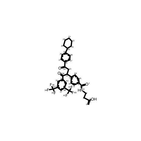 C=C(O)CCNC(=O)c1ccc(C(CC(=O)c2ccc(C3CCCCC3)cc2)C(=O)c2cc(C(F)(F)F)cc(C(F)(F)F)c2)cc1